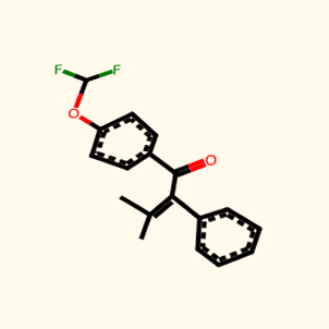 CC(C)=C(C(=O)c1ccc(OC(F)F)cc1)c1ccccc1